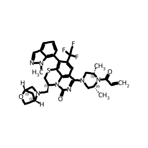 C=CC(=O)N1[C@H](C)CN(c2nc(=O)n3c4c(c(-c5cccc6cnn(C)c56)c(C(F)(F)F)cc24)SC[C@@H]3CN2C[C@@H]3C[C@H]2CO3)C[C@@H]1C